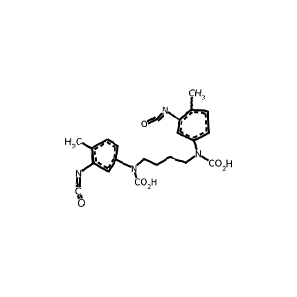 Cc1ccc(N(CCCCN(C(=O)O)c2ccc(C)c(N=C=O)c2)C(=O)O)cc1N=C=O